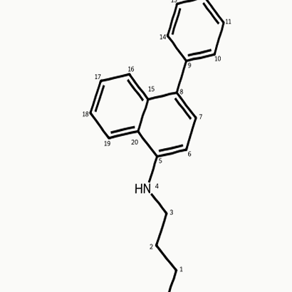 CCCCNc1ccc(-c2ccccc2)c2ccccc12